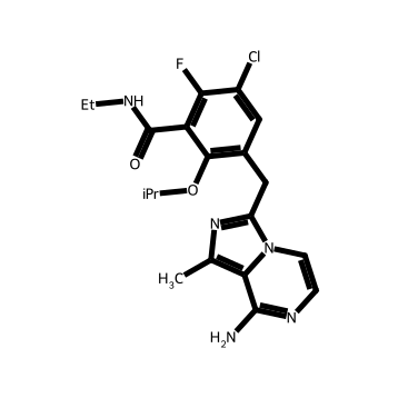 CCNC(=O)c1c(F)c(Cl)cc(Cc2nc(C)c3c(N)nccn23)c1OC(C)C